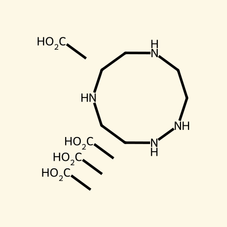 C1CNCCNNCCN1.CC(=O)O.CC(=O)O.CC(=O)O.CC(=O)O